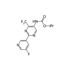 CC(C)OC(=O)Nc1cnc(-c2cncc(F)c2)nc1C(F)(F)F